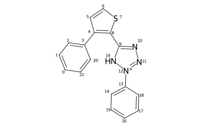 c1ccc(-c2ccsc2-c2nn[n+](-c3ccccc3)[nH]2)cc1